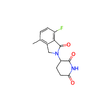 Cc1ccc(F)c2c1CN(C1CCC(=O)NC1=O)C2=O